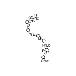 COc1ccc(COc2c(F)cc(C(=O)NC[C@H]3CC[C@H](n4cc5ccc(N6CCN(Cc7ccc(COc8cccc9c8CN(C8CCC(=O)NC8=O)C9=O)cc7)CC6)cc5n4)CC3)cc2F)cc1